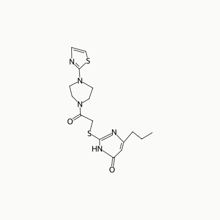 CCCc1cc(=O)[nH]c(SCC(=O)N2CCN(c3nccs3)CC2)n1